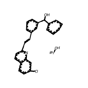 CC(C)O.OC(c1ccccc1)c1cccc(C=Cc2ccc3ccc(Cl)cc3n2)c1